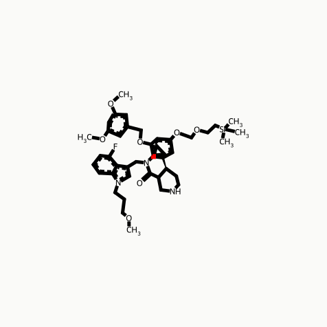 COCCCn1cc(CN(C(=O)C2CNCC[C@@H]2c2cc(OCOCC[Si](C)(C)C)cc(OCc3cc(OC)cc(OC)c3)c2)C2CC2)c2c(F)cccc21